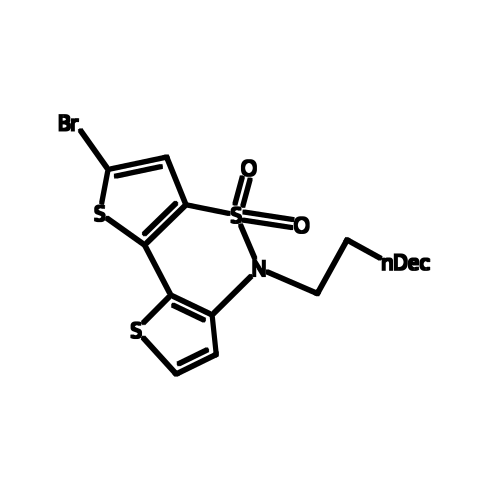 CCCCCCCCCCCCN1c2ccsc2-c2sc(Br)cc2S1(=O)=O